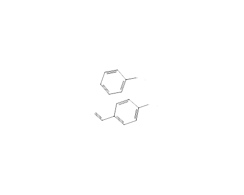 C=Cc1ccc(C)cc1.Cc1ccccc1